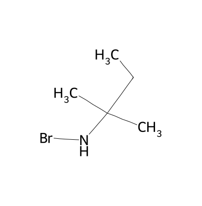 CCC(C)(C)NBr